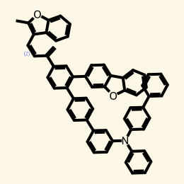 C=C(/C=C\c1c(C)oc2ccccc12)c1ccc(-c2ccc(-c3cccc(N(c4ccccc4)c4ccc(-c5ccccc5)cc4)c3)cc2)c(-c2ccc3c(c2)oc2ccccc23)c1